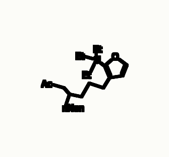 CCCCCCCCCC(CCCc1ccoc1[Si](CC)(CC)CC)CC(C)=O